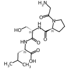 CC(C)C[C@H](NC(=O)[C@H](CO)NC(=O)[C@@H]1CCCN1C(=O)CN)C(=O)O